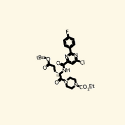 CCOC(=O)N1CCN(C(=O)[C@H](CCC(=O)OC(C)(C)C)NC(=O)c2cc(Cl)nc(-c3ccc(F)cc3)n2)CC1